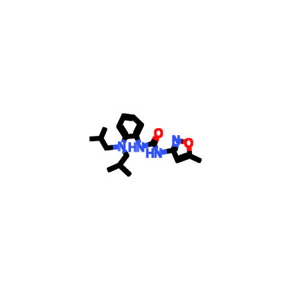 Cc1cc(NC(=O)Nc2ccccc2N(CC(C)C)CC(C)C)no1